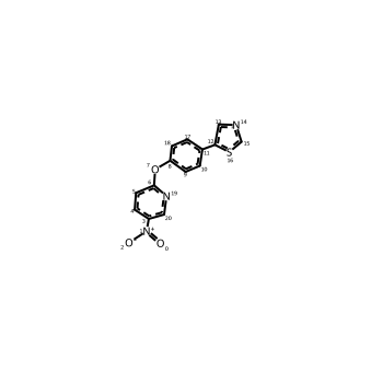 O=[N+]([O-])c1ccc(Oc2ccc(-c3cncs3)cc2)nc1